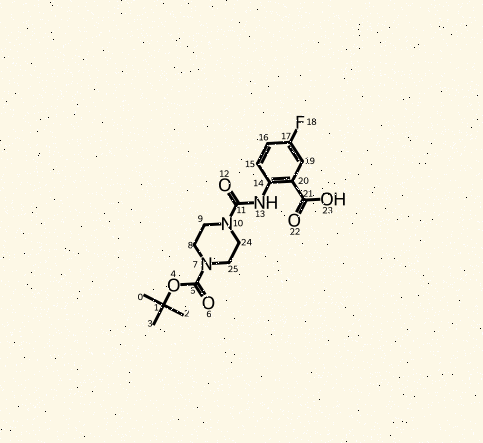 CC(C)(C)OC(=O)N1CCN(C(=O)Nc2ccc(F)cc2C(=O)O)CC1